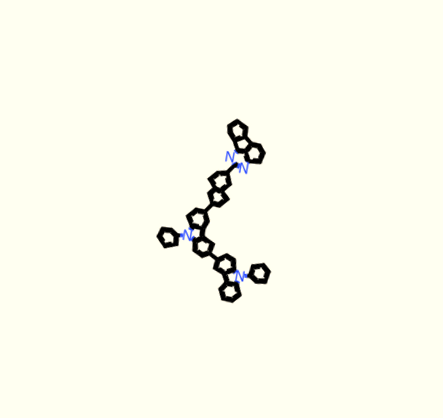 c1ccc(-n2c3ccccc3c3cc(-c4ccc5c(c4)c4cc(-c6ccc7cc(-c8nc9c%10c(cccc%10n8)-c8ccccc8-9)ccc7c6)ccc4n5-c4ccccc4)ccc32)cc1